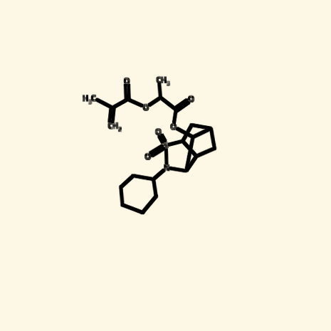 C=C(C)C(=O)OC(C)C(=O)OC1C2CC3C1N(C1CCCCC1)S(=O)(=O)C3C2